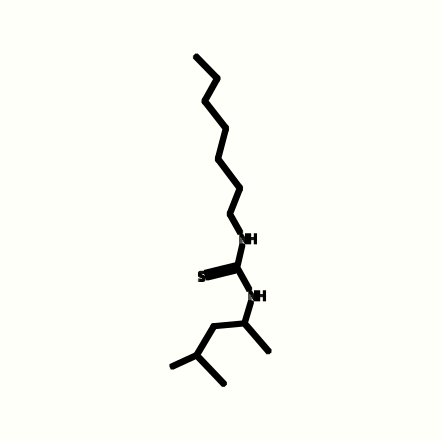 CCCCCCCNC(=S)NC(C)CC(C)C